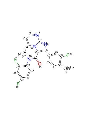 COc1ccc(-c2nc3ncccn3c2C(=O)N(C)c2ccc(F)cc2F)cc1F